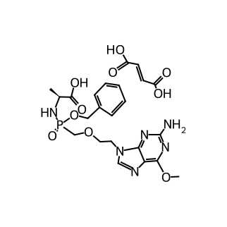 COc1nc(N)nc2c1ncn2CCOCP(=O)(N[C@@H](C)C(=O)O)OCc1ccccc1.O=C(O)/C=C/C(=O)O